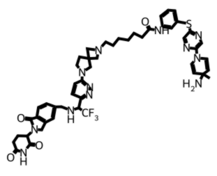 CC1(N)C=CN(c2cnc(Sc3cccc(NC(=O)CCCCCCN4CC5(CCN(c6ccc(C(NCc7ccc8c(c7)CN(C7CCC(=O)NC7=O)C8=O)C(F)(F)F)nn6)C5)C4)c3)cn2)C=C1